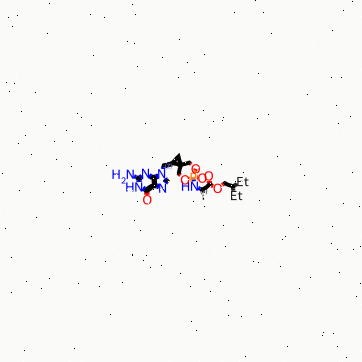 CCC(CC)COC(=O)[C@H](C)NP1(=O)OCC2(CO1)C/C2=C/n1cnc2c(=O)[nH]c(N)nc21